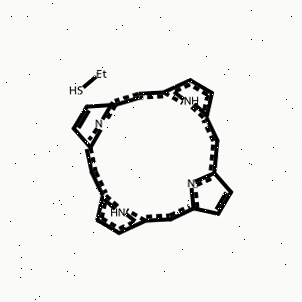 C1=Cc2cc3ccc(cc4nc(cc5ccc(cc1n2)[nH]5)C=C4)[nH]3.CCS